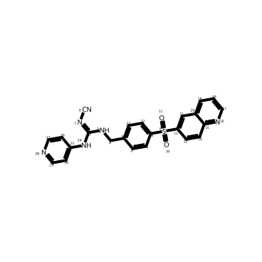 N#C/N=C(\NCc1ccc(S(=O)(=O)c2ccc3ncccc3c2)cc1)Nc1ccncc1